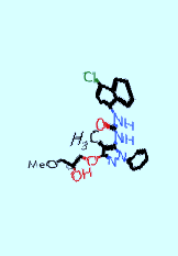 COC[C@H](O)COc1nn(-c2ccccc2)c(NC(=O)Nc2ccc(Cl)c3ccccc23)c1C